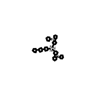 c1ccc(-c2ccc(-c3ccc(-c4nc(-c5ccc6c(c5)c5ccccc5n6-c5ccccc5)nc(-c5ccc6c7ccccc7n(-c7ccccc7)c6c5)n4)cc3)cc2)cc1